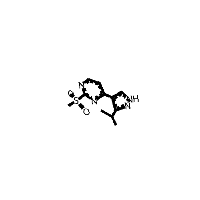 CC(C)c1n[nH]cc1-c1ccnc(S(C)(=O)=O)n1